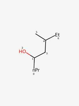 CCCC(O)CC(C)CC